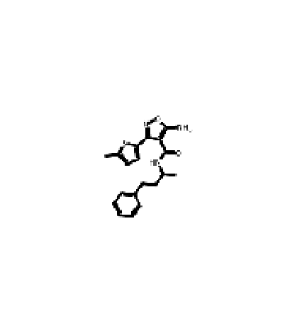 Cc1ccc(-c2noc(N)c2C(=O)NC(C)CCc2ccccc2)s1